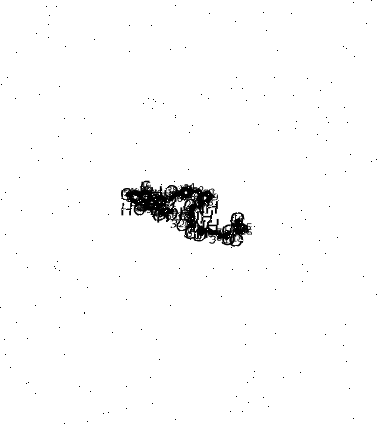 C[C@H](NC(=O)CCCCC(=O)ON1C(=O)CCC1=O)C(=O)N[C@@H](C)C(=O)Nc1cccc(Cc2ccc([C@@H](O)O[C@@H]3C[C@H]4[C@@H]5C[C@H](F)C6=CC(=O)C=C[C@]6(C)[C@@]5(F)[C@@H](O)C[C@]4(C)[C@H]3C(=O)CO)cc2)c1